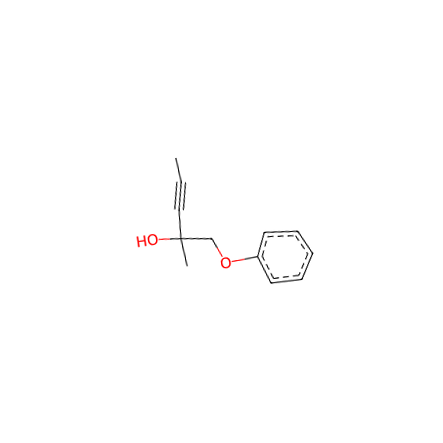 CC#CC(C)(O)COc1ccccc1